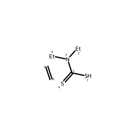 C=C.CCN(CC)C(=S)S